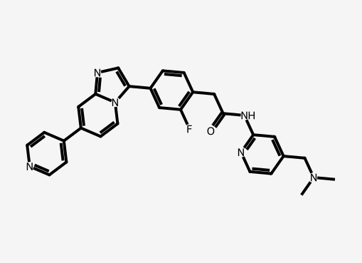 CN(C)Cc1ccnc(NC(=O)Cc2ccc(-c3cnc4cc(-c5ccncc5)ccn34)cc2F)c1